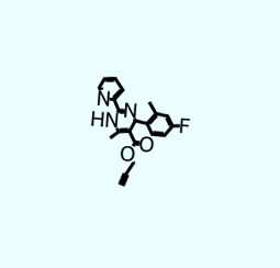 C#CCOC(=O)C1=C(C)NC(c2ccccn2)=NC1c1ccc(F)cc1C